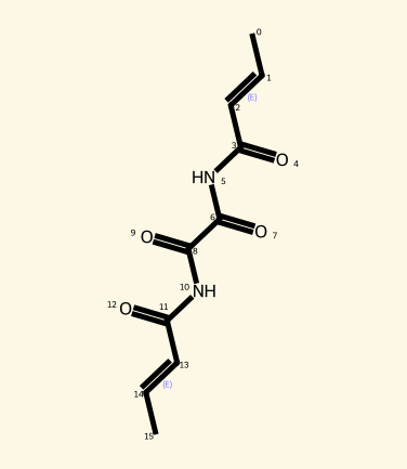 C/C=C/C(=O)NC(=O)C(=O)NC(=O)/C=C/C